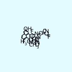 C#Cc1c(F)ccc2cc(O)cc(-c3nc(C(=O)N(C)C)c4c(N5CC6CCC(C5)N6)nc(OC[C@@]56CCCN5C[C@H](F)C6)nc4c3F)c12